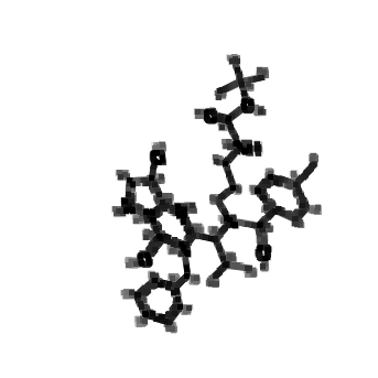 Cc1ccc(C(=O)N(CCCNC(=O)OC(C)(C)C)C(c2nc3c(Cl)cnn3c(=O)n2Cc2ccccc2)C(C)C)cc1